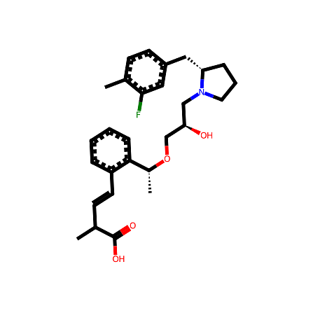 Cc1ccc(C[C@@H]2CCCN2C[C@@H](O)CO[C@H](C)c2ccccc2C=CC(C)C(=O)O)cc1F